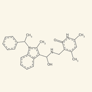 Cc1cc(C)c(CNC(O)c2c(C)n(C(C)c3ccccc3)c3ccccc23)c(=O)[nH]1